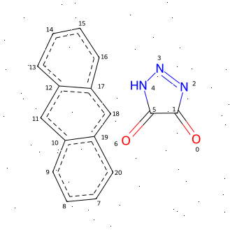 O=C1N=NNC1=O.c1ccc2cc3ccccc3cc2c1